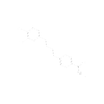 NC(=O)c1ccc(CCCCc2ccc(Cl)c(Cl)c2)cc1